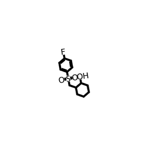 O=S(=O)(CC1CCCCC1O)c1ccc(F)cc1